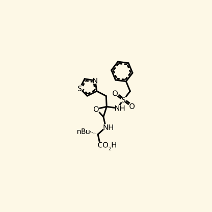 CCCC[C@H](NC1OC1(Cc1cscn1)NS(=O)(=O)Cc1ccccc1)C(=O)O